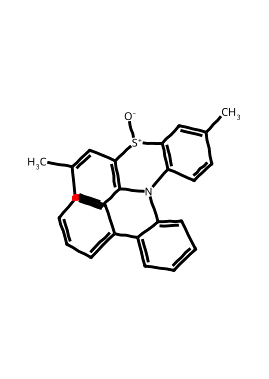 Cc1ccc2c(c1)[S+]([O-])c1cc(C)ccc1N2c1ccccc1-c1ccccc1